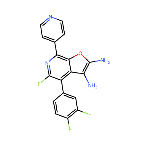 Nc1oc2c(-c3ccncc3)nc(F)c(-c3ccc(F)c(F)c3)c2c1N